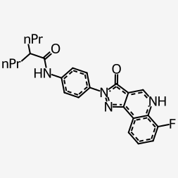 CCCC(CCC)C(=O)Nc1ccc(-n2nc3c4cccc(F)c4[nH]cc-3c2=O)cc1